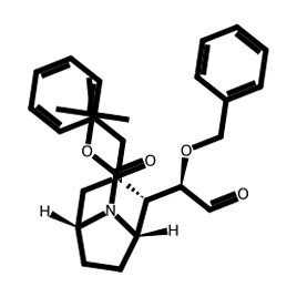 CC(C)(C)OC(=O)N1[C@@H]2CC[C@H]1[C@@H]([C@H](C=O)OCc1ccccc1)N(Cc1ccccc1)C2